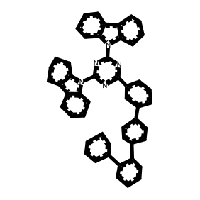 c1ccc(-c2ccccc2-c2ccc(-c3cccc(-c4nc(-n5c6ccccc6c6ccccc65)nc(-n5c6ccccc6c6ccccc65)n4)c3)cc2)cc1